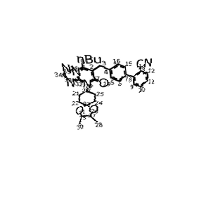 CCCCc1c(Cc2ccc(-c3ccccc3C#N)cc2)c(=O)n(C2CCC3(CC2)OC(C)C(C)O3)c2ncnn12